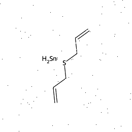 C=CCSCC=C.[SnH2]